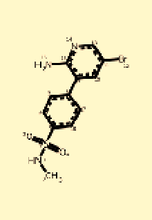 CNS(=O)(=O)c1ccc(-c2cc(Br)cnc2N)cc1